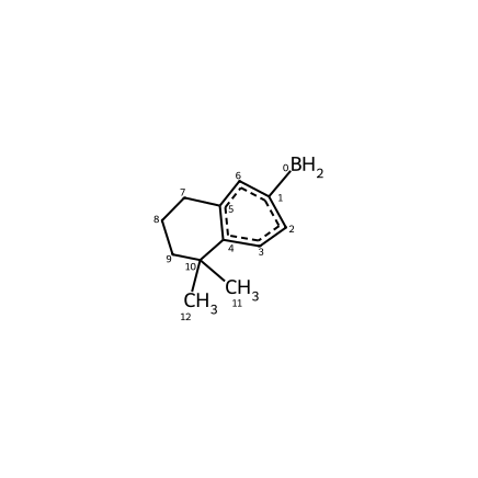 Bc1ccc2c(c1)CCCC2(C)C